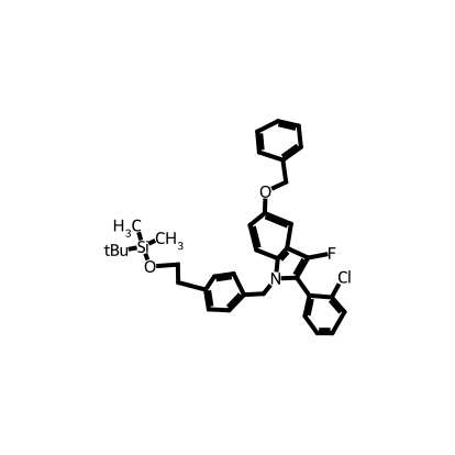 CC(C)(C)[Si](C)(C)OCCc1ccc(Cn2c(-c3ccccc3Cl)c(F)c3cc(OCc4ccccc4)ccc32)cc1